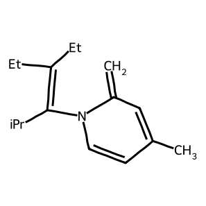 C=C1C=C(C)C=CN1C(=C(CC)CC)C(C)C